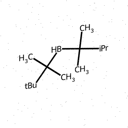 CC(C)C(C)(C)BC(C)(C)C(C)(C)C